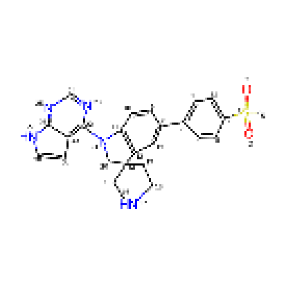 CS(=O)(=O)c1ccc(-c2ccc3c(c2)C2(CCNCC2)CN3c2ncnc3[nH]ccc23)cc1